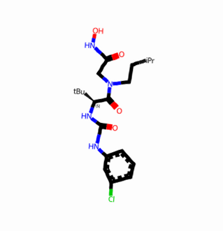 CC(C)CCN(CC(=O)NO)C(=O)[C@@H](NC(=O)Nc1cccc(Cl)c1)C(C)(C)C